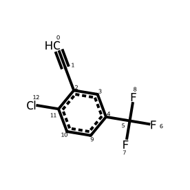 C#Cc1cc(C(F)(F)F)ccc1Cl